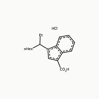 CCCCCCC(CC)n1cc(C(=O)O)c2ccccc21.Cl